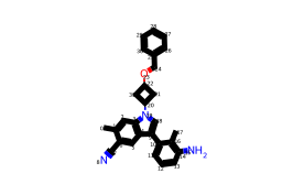 Cc1cc2c(cc1C#N)c(-c1cccc(N)c1C)cn2[C@H]1C[C@@H](OCc2ccccc2)C1